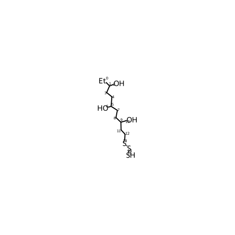 CCC(O)CCC(O)CCC(O)CCSSS